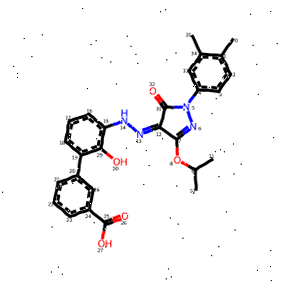 Cc1ccc(N2N=C(OC(C)C)/C(=N/Nc3cccc(-c4cccc(C(=O)O)c4)c3O)C2=O)cc1C